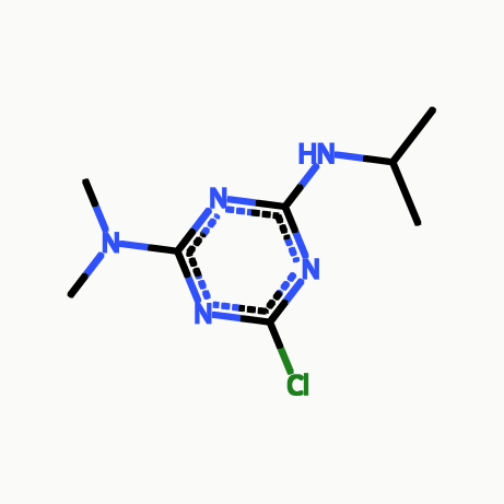 CC(C)Nc1nc(Cl)nc(N(C)C)n1